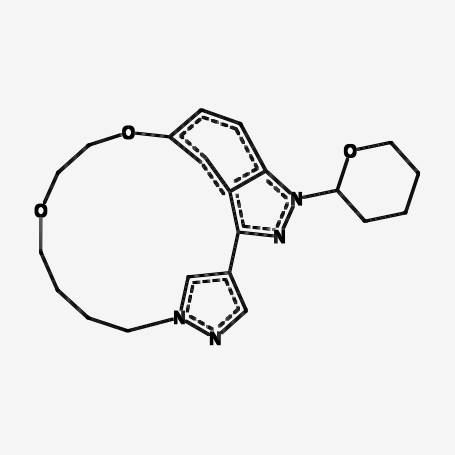 c1cc2c3cc1OCCOCCCCn1cc(cn1)-c3nn2C1CCCCO1